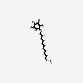 CCCCCCCCCCCCSC1=CC(F)[C](F)C(F)=C1F